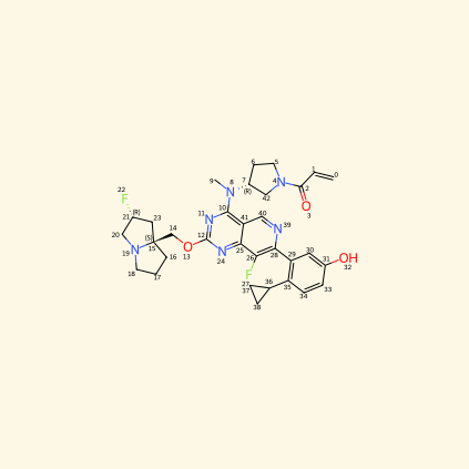 C=CC(=O)N1CC[C@@H](N(C)c2nc(OC[C@@]34CCCN3C[C@H](F)C4)nc3c(F)c(-c4cc(O)ccc4C4CC4)ncc23)C1